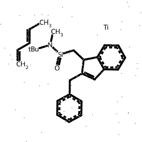 C=CC=CC.CN([Si](=O)CC1C(Cc2ccccc2)=Cc2ccccc21)C(C)(C)C.[Ti]